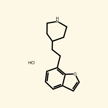 Cl.c1cc(CCC2CCNCC2)c2occc2c1